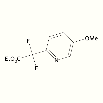 CCOC(=O)C(F)(F)c1ccc(OC)cn1